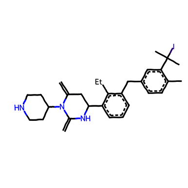 C=C1CC(c2cccc(Cc3ccc(C)c(C(C)(C)I)c3)c2CC)NC(=C)N1C1CCNCC1